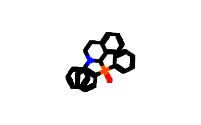 O=P(c1ccccc1)(c1ccccc1)C1c2ccccc2CCN1c1ccccc1